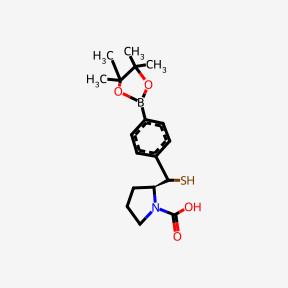 CC1(C)OB(c2ccc(C(S)[C@@H]3CCCN3C(=O)O)cc2)OC1(C)C